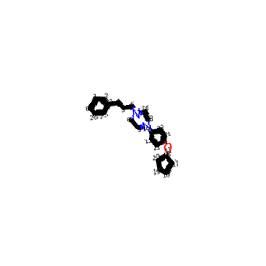 c1ccc(CCCN2CCN(c3ccc(OC4CCCC4)cc3)CC2)cc1